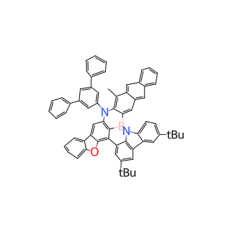 Cc1c2c(cc3cc4ccccc4cc13)B1c3c(cc4c(oc5ccccc54)c3-c3cc(C(C)(C)C)cc4c5cc(C(C)(C)C)ccc5n1c34)N2c1cc(-c2ccccc2)cc(-c2ccccc2)c1